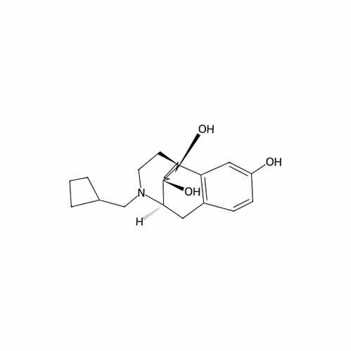 Oc1ccc2c(c1)[C@]13CCN(CC4CCC4)[C@H](C2)[C@]1(O)CCC[C@@H]3O